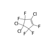 FC1=C(Cl)C(F)(F)C(Cl)(Cl)C1(F)F